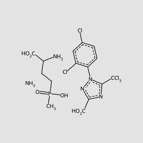 CP(=O)(O)CCC(N)C(=O)O.N.O=C(O)c1nc(C(Cl)(Cl)Cl)n(-c2ccc(Cl)cc2Cl)n1